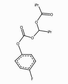 CC(C)C(=O)OC(OC(=O)Oc1ccc(F)cc1)C(C)C